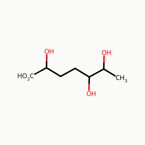 CC(O)C(O)CCC(O)C(=O)O